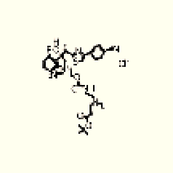 CCN(CCNC(=O)OCC[N+]1(C[C@](O)(c2cc(F)ccc2F)[C@@H](C)c2nc(-c3ccc(C#N)cc3)cs2)C=NC=N1)CCC(=O)OC(C)(C)C.[Cl-]